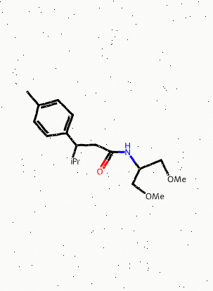 COCC(COC)NC(=O)CC(c1ccc(C)cc1)C(C)C